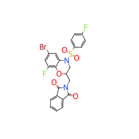 O=C1c2ccccc2C(=O)N1CC1CN(S(=O)(=O)c2ccc(F)cc2)c2cc(Br)cc(F)c2O1